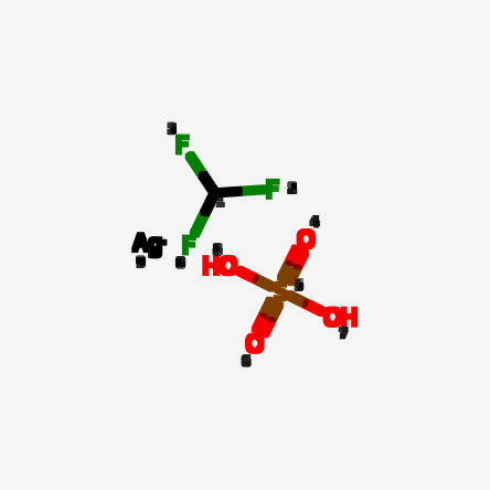 FC(F)F.O=S(=O)(O)O.[Ag]